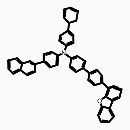 C1=CCC(c2ccc(N(c3ccc(-c4ccc(-c5cccc6c5oc5ccccc56)cc4)cc3)c3ccc(-c4ccc5ccccc5c4)cc3)cc2)C=C1